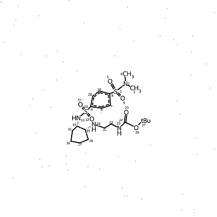 CN(C)S(=O)(=O)c1ccc(S(=O)(=O)N[C@H]2CCCC[C@H]2NCCNC(=O)OC(C)(C)C)cc1